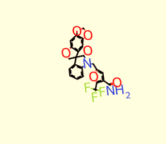 NC(=O)c1cc(CN2C(=O)C3(COc4cc5c(cc43)OCO5)c3ccccc32)oc1C(F)(F)F